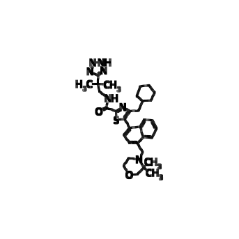 CC(C)(CNC(=O)c1nc(CC2CCCCC2)c(-c2ccc(CN3CCOCC3(C)C)c3ccccc23)s1)c1nn[nH]n1